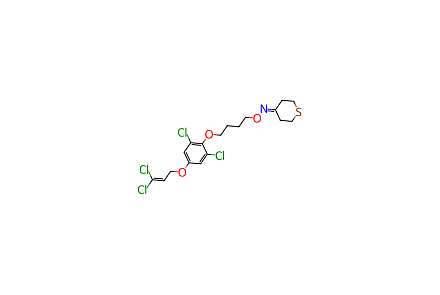 ClC(Cl)=CCOc1cc(Cl)c(OCCCCON=C2CCSCC2)c(Cl)c1